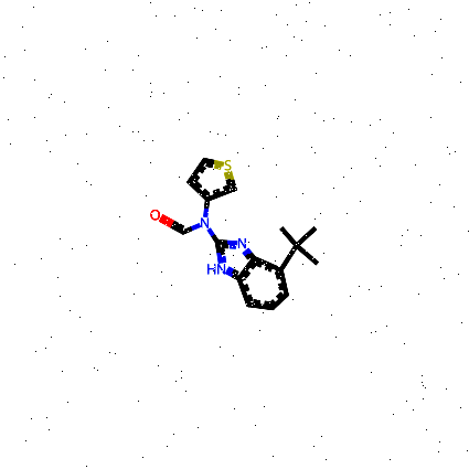 CC(C)(C)c1cccc2[nH]c(N(C=O)c3ccsc3)nc12